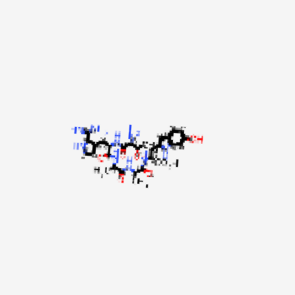 CC(NC(=O)C(C)NC(=O)C(CC1=CCNC1C(=N)N)NC(=O)C(N)C(C)O)C(=O)NC(Cc1cc2ccc(O)cc2[nH]1)C(=O)O